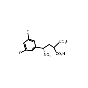 O=C(O)C(C[C@@H](c1cc(F)cc(F)c1)[N+](=O)[O-])C(=O)O